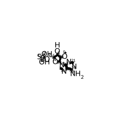 CO[C@@H]1[C@H](O)[C@@H](COP(O)(O)=S)O[C@H]1n1cnc2c(N)ncnc21